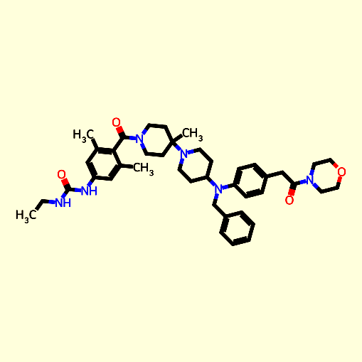 CCNC(=O)Nc1cc(C)c(C(=O)N2CCC(C)(N3CCC(N(Cc4ccccc4)c4ccc(CC(=O)N5CCOCC5)cc4)CC3)CC2)c(C)c1